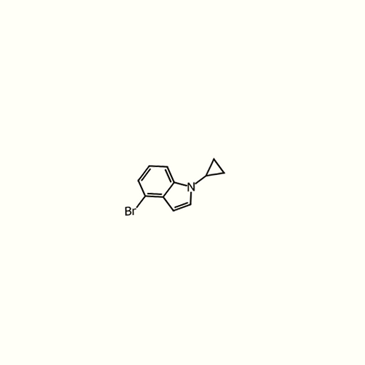 Brc1cccc2c1ccn2C1CC1